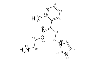 Cc1ccccc1C(CCn1ccnc1)=NOCCN